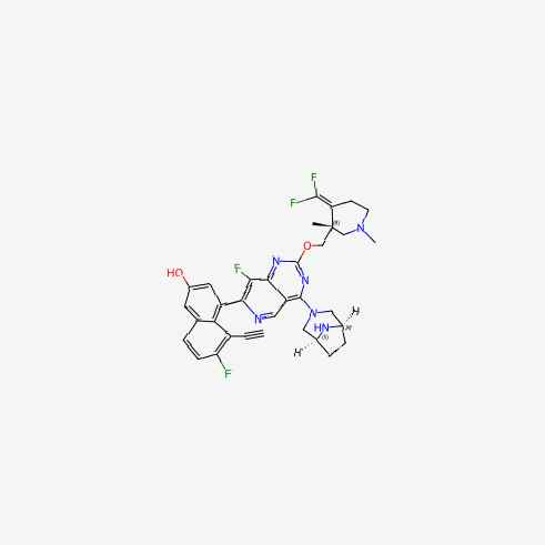 C#Cc1c(F)ccc2cc(O)cc(-c3ncc4c(N5C[C@H]6CC[C@@H](C5)N6)nc(OC[C@@]5(C)CN(C)CCC5=C(F)F)nc4c3F)c12